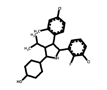 Cc1cc(Cl)ccc1C1C(c2cccc(Cl)c2F)NC(C2CCC(O)CC2)C1C(C)C